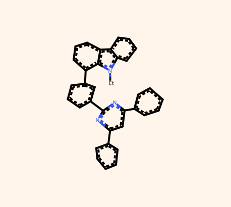 CCn1c2ccccc2c2cccc(-c3cccc(-c4nc(-c5ccccc5)cc(-c5ccccc5)n4)c3)c21